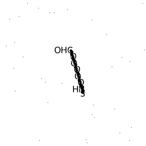 O=CCCOCCOCCOCCOCCOCCNC=S